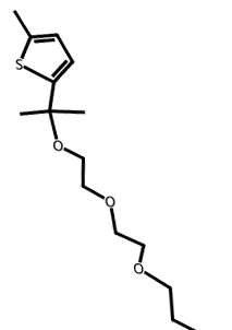 COCCOCCOCCOC(C)(C)c1ccc(C)s1